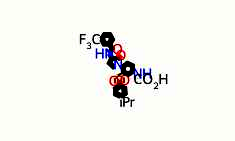 CC(C)c1ccc(S(=O)(=O)C[C@@H]2CC(NC(=O)O)CC[C@@H]2N2CCC(NC(=O)c3cccc(C(F)(F)F)c3)C2=O)cc1